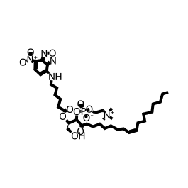 CCCCCCCC/C=C\CCCCCCCC(=O)C(OP(=O)([O-])OCC[N+](C)(C)C)[C@H](CO)OC(=O)CCCCCNc1ccc([N+](=O)[O-])c2nonc12